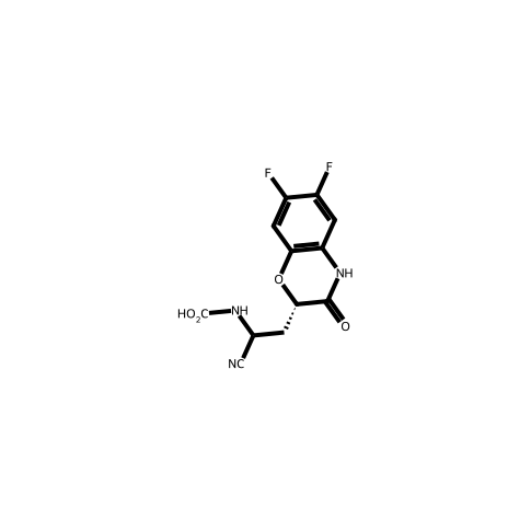 N#CC(C[C@@H]1Oc2cc(F)c(F)cc2NC1=O)NC(=O)O